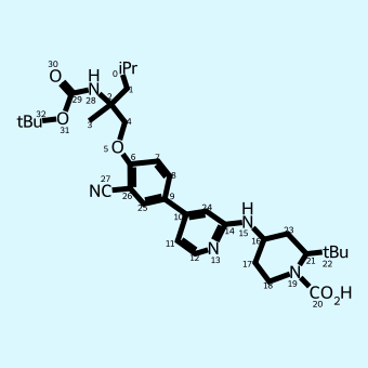 CC(C)CC(C)(COc1ccc(-c2ccnc(NC3CCN(C(=O)O)C(C(C)(C)C)C3)c2)cc1C#N)NC(=O)OC(C)(C)C